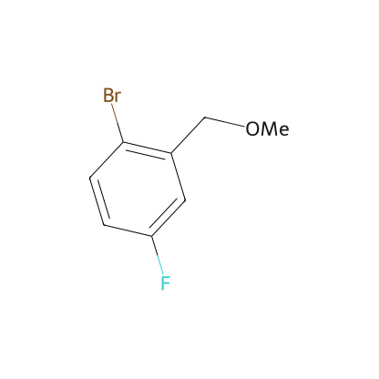 COCc1cc(F)ccc1Br